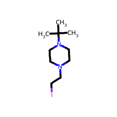 CC(C)(C)N1CCN(CCI)CC1